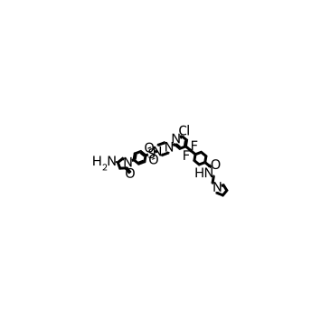 N[C@@H]1CC(=O)N(c2ccc(S(=O)(=O)N3CCN(c4cc(C(F)(F)C5CCC(C(=O)NCCN6CCCC6)CC5)cc(Cl)n4)CC3)cc2)C1